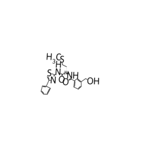 CSCC[C@H](NC(=O)c1cccc(CO)c1)C(=O)Nc1nc(-c2ccccc2)cs1